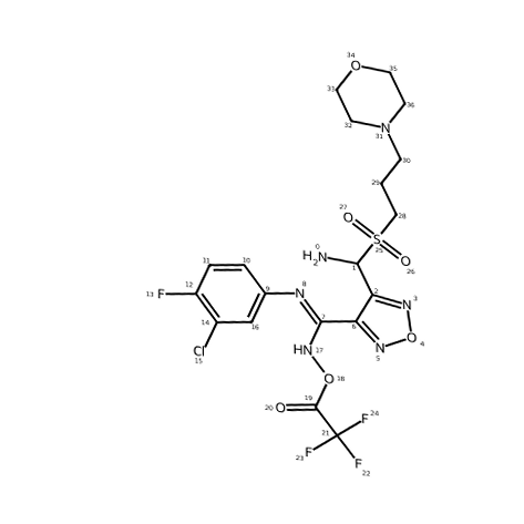 NC(c1nonc1C(=Nc1ccc(F)c(Cl)c1)NOC(=O)C(F)(F)F)S(=O)(=O)CCCN1CCOCC1